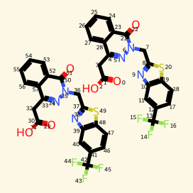 O=C(O)Cc1nn(Cc2nc3cc(C(F)(F)F)ccc3s2)c(=O)c2ccccc12.O=C(O)Cc1nn(Cc2nc3cc(C(F)(F)F)ccc3s2)c(=O)c2ccccc12